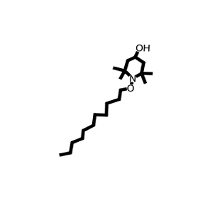 CCCCCCCCCCCON1C(C)(C)CC(O)CC1(C)C